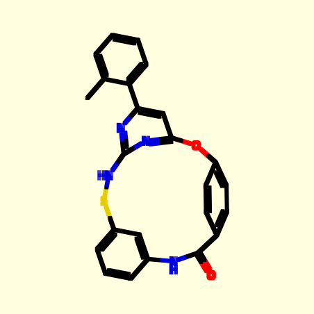 Cc1ccccc1-c1cc2nc(n1)[nH]sc1cccc(c1)[nH]c(=O)c1ccc(cc1)o2